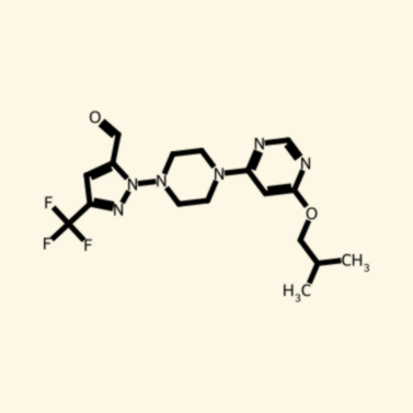 CC(C)COc1cc(N2CCN(n3nc(C(F)(F)F)cc3C=O)CC2)ncn1